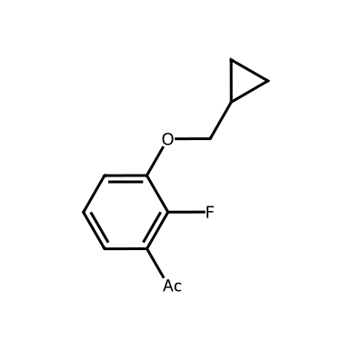 CC(=O)c1cccc(OCC2CC2)c1F